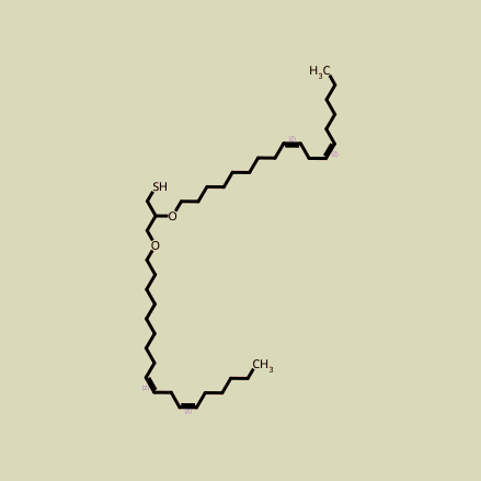 CCCCC/C=C\C/C=C\CCCCCCCCOCC(CS)OCCCCCCCC/C=C\C/C=C\CCCCC